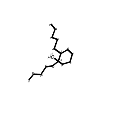 CCCCCC1CCCCC1(O)CCCCC